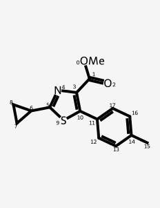 COC(=O)c1nc(C2CC2)sc1-c1ccc(C)cc1